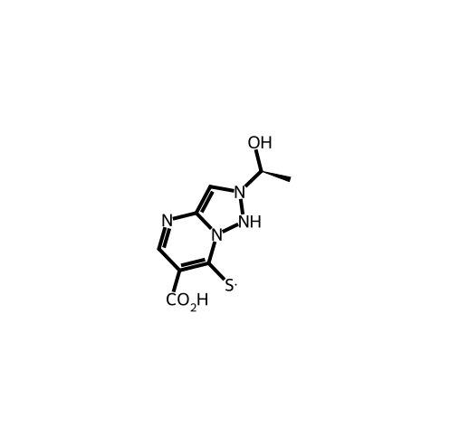 C[C@H](O)N1C=C2N=CC(C(=O)O)=C([S])N2N1